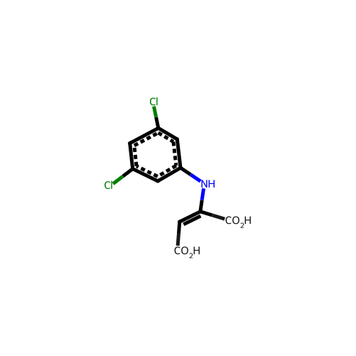 O=C(O)C=C(Nc1cc(Cl)cc(Cl)c1)C(=O)O